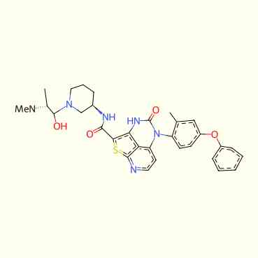 CN[C@H](C)C(O)N1CCC[C@@H](NC(=O)c2sc3nccc4c3c2NC(=O)N4c2ccc(Oc3ccccc3)cc2C)C1